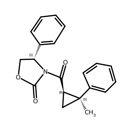 C[C@]1(c2ccccc2)C[C@H]1C(=O)N1C(=O)OC[C@@H]1c1ccccc1